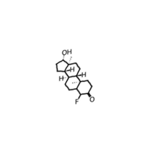 C[C@]12CC[C@H]3[C@@H](CCC4C(F)C(=O)CC[C@@]43C)[C@@H]1CC[C@@H]2O